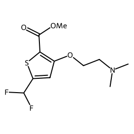 COC(=O)c1sc(C(F)F)cc1OCCN(C)C